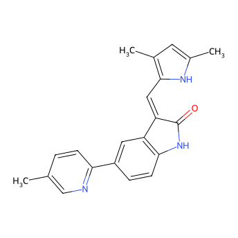 Cc1ccc(-c2ccc3c(c2)/C(=C/c2[nH]c(C)cc2C)C(=O)N3)nc1